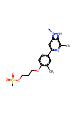 Cn1[nH]c2c(C#N)nc(-c3ccc(OCCCOS(C)(=O)=O)c(C(F)(F)F)c3)cc21